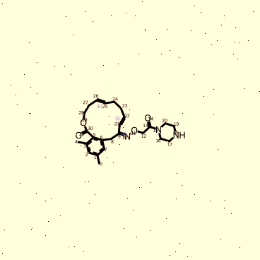 Cc1cc(C)c2c(c1)CC(=N/OCC(=O)N1CCNCC1)/C=C/CC/C=C/CCOC2=O